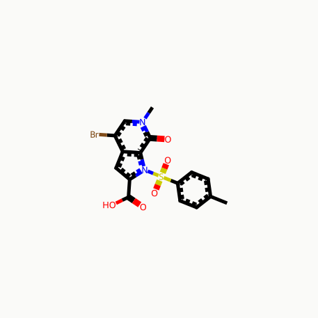 Cc1ccc(S(=O)(=O)n2c(C(=O)O)cc3c(Br)cn(C)c(=O)c32)cc1